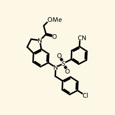 COCC(=O)N1CCc2ccc(N(Cc3ccc(Cl)cc3)S(=O)(=O)c3cccc(C#N)c3)cc21